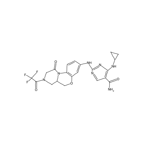 NC(=O)c1cnc(Nc2ccc3c(c2)OCC2CN(C(=O)C(F)(F)F)CC(=O)N32)nc1NC1CC1